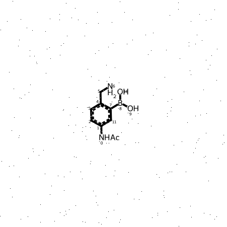 CC(=O)Nc1ccc(CN)c(B(O)O)c1